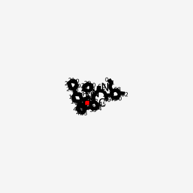 C=CC1=NC2C(=C)[n+]3c(n(-c4cccc5ccc(-c6ccccc6)cc45)c4ccccc43)-c3c(ccc4c3oc3ccccc34)CCC2c2ccc(C)cc21